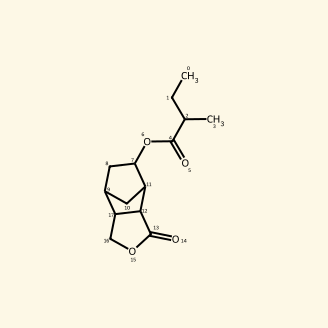 CCC(C)C(=O)OC1CC2CC1C1C(=O)OCC21